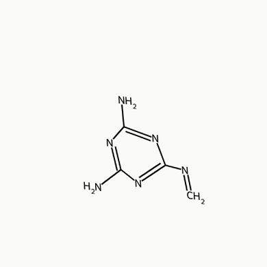 C=Nc1nc(N)nc(N)n1